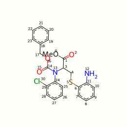 COC(=O)C(CSc1ccccc1N)N(C(=O)OCc1ccccc1)c1ccccc1Cl